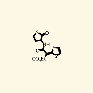 CCOC(=O)C(C(=O)NC1CCSC1=O)=C1SC=CS1